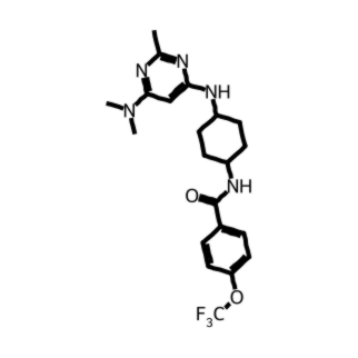 Cc1nc(NC2CCC(NC(=O)c3ccc(OC(F)(F)F)cc3)CC2)cc(N(C)C)n1